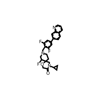 O=C1COC2(CCN(Cc3c(F)cc(-c4ccc5cccnc5c4)cc3F)CC2F)CN1C1CC1